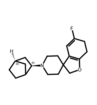 FC1=CC2=C(CC1)OCC21CCN([C@@H]2C[C@@H]3CCC2C3)CC1